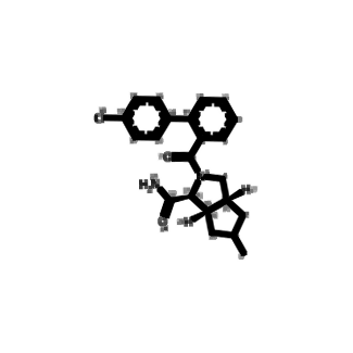 CC1C[C@H]2CN(C(=O)c3ccccc3-c3ccc(Cl)cc3)[C@H](C(N)=O)[C@H]2C1